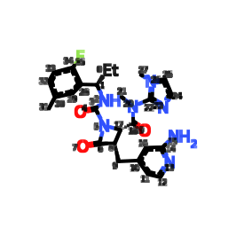 CC[C@@H](NC(=O)N1C(=O)[C@H](Cc2ccnc(N)c2)[C@H]1C(=O)N(C)c1nccn1C)c1cc(C)ccc1F